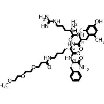 COCCOCCOCCC(=O)NCCCC[C@H](NC(=O)[C@H](Cc1c(C)cc(O)cc1C)NC(=O)[C@H](N)CCCNC(=N)N)C(=O)N[C@@H](Cc1ccccc1)C(N)=O